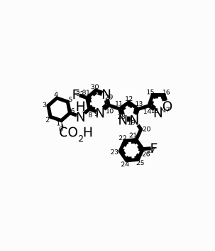 O=C(O)[C@@H]1CCCCC1Nc1nc(-c2cc(-c3ccon3)n(Cc3ccccc3F)n2)ncc1F